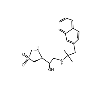 CC(C)(Cc1ccc2ccccc2c1)NC[C@@H](O)[C@H]1CS(=O)(=O)CN1